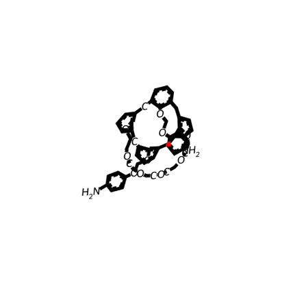 Nc1ccc(OCOc2c3cccc2Cc2cccc4c2OCCOCCOCCOCCOCCOc2c(cccc2Cc2cccc(c2OCOc2ccc(N)cc2)C4)C3)cc1